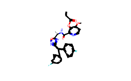 CCC(=O)Oc1c(OC)ccnc1C(=O)N[C@@H](C)c1nc(C(c2ccc(F)cc2)c2ccc(F)cc2)no1